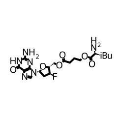 CC[C@H](C)[C@H](N)C(=O)OCCCC(=O)OC[C@H]1O[C@@H](n2cnc3c(=O)[nH]c(N)nc32)C[C@@H]1F